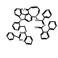 C=C1/C=C\C=C/N(N/C(=N\C(=N)c2ccccc2-c2ccccc2)c2ccccc2)c2ccc3c(c21)c1ccccc1n3-c1ccccc1C/N=C(\N=C(/N)c1ccccc1)c1ccccc1